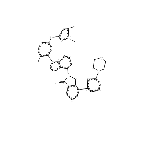 Cc1cnc(Nc2cc(C)n(C)n2)nc1-c1c[nH]c2c(N3Cc4c(cccc4-c4ccnc(N5CCNCC5)c4)C3=O)cccc12